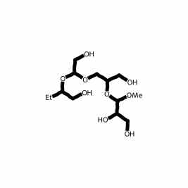 CCC(CO)OC(CO)OCC(CO)OC(OC)C(O)CO